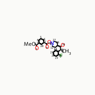 COC(=O)c1cccc(C(=O)ON2CCC(C(=O)C(C)c3ccccc3F)CC2)c1